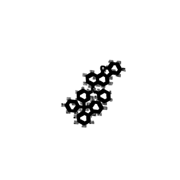 c1ccc(N(c2cccc(C3(c4ccccc4)c4ccccc4-c4ccccc43)c2)c2cccc3c2ccc2c4ccccc4oc32)cc1